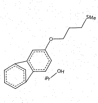 CC(C)O.CSCCCOc1ccc2c(c1)-c1cccc-2c1